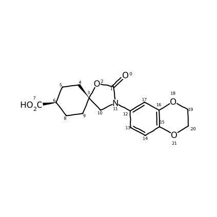 O=C1O[C@]2(CC[C@H](C(=O)O)CC2)CN1c1ccc2c(c1)OCCO2